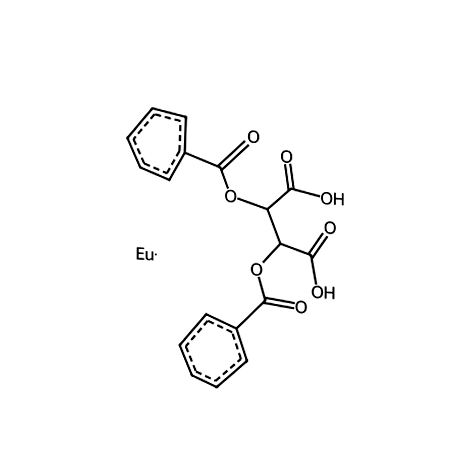 O=C(OC(C(=O)O)C(OC(=O)c1ccccc1)C(=O)O)c1ccccc1.[Eu]